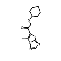 Cc1c(C(=O)CSC2CCCCC2)sc2ncnn12